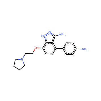 Nc1ccc(-c2ccc(OCCN3CCCC3)c3[nH]nc(N)c23)cc1